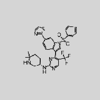 CC1(C)CC[C@H](Nc2ncc(C(F)(F)F)c(-c3cn(S(=O)(=O)c4ccccc4)c4cc(-c5nccs5)ccc34)n2)CN1